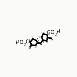 CC1CC(CC2CCC(C(=O)O)C(C)C2)CCC1C(=O)O